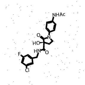 CC(=O)Nc1ccc(N2CC[C@](O)(C(=O)NCc3cc(F)cc(Cl)c3)C2=O)cc1